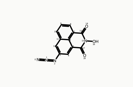 [N-]=[N+]=Nc1cc2c3c(cccc3c1)C(=O)N(O)C2=O